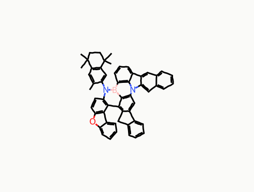 Cc1cc2c(cc1N1B3c4c(cc5c(c4-c4c1ccc1oc6ccccc6c41)Cc1ccccc1-5)-n1c4cc5ccccc5cc4c4cccc3c41)C(C)(C)CCC2(C)C